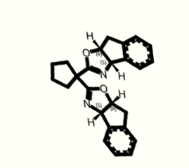 c1ccc2c(c1)C[C@H]1OC(C3(C4=N[C@H]5c6ccccc6C[C@H]5O4)CCCC3)=N[C@@H]21